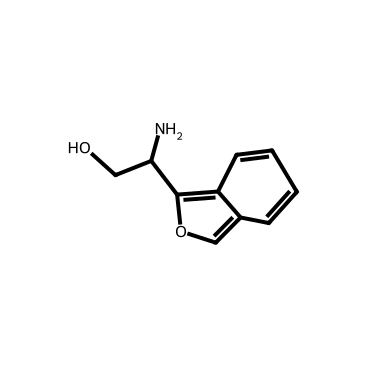 NC(CO)c1occ2ccccc12